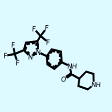 O=C(Nc1ccc(-n2nc(C(F)(F)F)cc2C(F)(F)F)cc1)C1CCNCC1